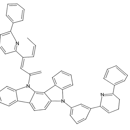 C=C(/C=C(\C=C/C)c1cccc(-c2ccccc2)n1)n1c2ccccc2c2ccc3c(c4ccccc4n3-c3cccc(C4=CCCC(c5ccccc5)=N4)c3)c21